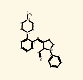 CN1CCN(c2ccccc2C=C2CCN(c3ccccc3)C2C=O)CC1